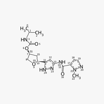 CC(C)NC(=O)O[C@@H]1CO[C@H](c2cc(NC(=O)c3ccnn3C)n[nH]2)C1